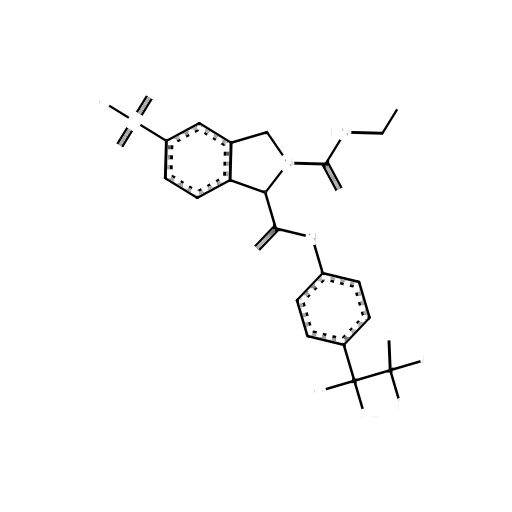 CCNC(=O)N1Cc2cc(S(C)(=O)=O)ccc2C1C(=O)Nc1ccc(C(C)(O)C(F)(F)F)cc1